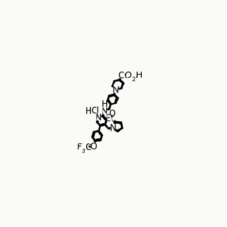 CCC1CCCN1Cc1cc(NC(=O)c2ccc(N3CCC(C(=O)O)CC3)cc2)ncc1-c1ccc(OC(F)(F)F)cc1.Cl